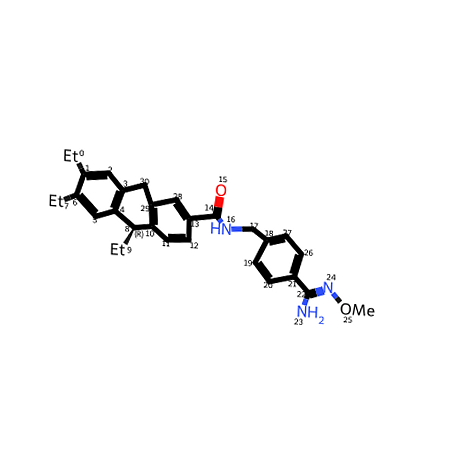 CCc1cc2c(cc1CC)[C@H](CC)c1ccc(C(=O)NCc3ccc(C(N)=NOC)cc3)cc1C2